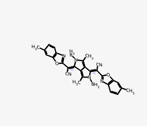 Bn1c(C)c2/c(=C(\C#N)c3nc4ccc(C)cc4o3)n(B)c(C)c2/c1=C(\C#N)c1nc2ccc(C)cc2o1